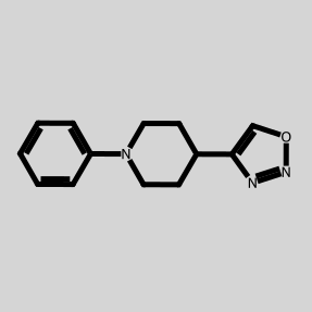 c1ccc(N2CCC(c3conn3)CC2)cc1